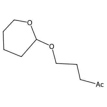 CC(=O)CCCOC1CCCCO1